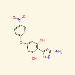 Nc1cc(-c2c(O)cc(Oc3ccc([N+](=O)[O-])cc3)cc2O)on1